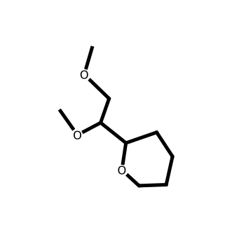 COCC(OC)C1CCCCO1